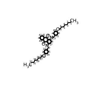 CCCCCCCCOc1ccc(C=Nc2ccc(N=Cc3ccc(OCCCCCCCC)cc3)c3c2C(=O)c2ccccc2C3=O)cc1